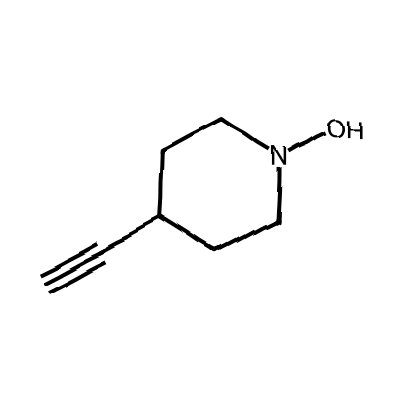 C#CC1CCN(O)CC1